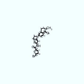 CN1CCc2cc(N3CCn4nc(NC(=O)c5ccc(Br)s5)cc43)ccc2C1=O